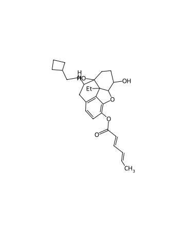 C/C=C/C=C/C(=O)Oc1ccc2c3c1OC1C(O)CCC(O)(C(NCC4CCC4)C2)C31CC